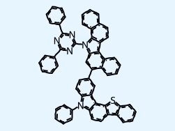 c1ccc(-c2nc(-c3ccccc3)nc(-n3c4cc(-c5ccc6c(c5)c5c7sc8ccccc8c7ccc5n6-c5ccccc5)c5ccccc5c4c4ccc5ccccc5c43)n2)cc1